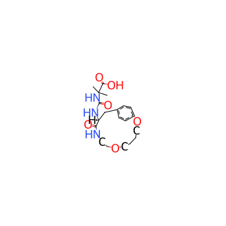 CC(C)(NC(=O)N[C@@H]1Cc2ccc(cc2)OCCCCOCCNC1=O)C(=O)O